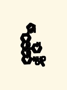 CC(=O)ONc1cccc(CN(Cc2ccc(-n3cccn3)cc2)S(=O)(=O)c2cccnc2)n1